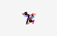 COc1cccc(-c2cnc([C@H](CCCCCC(C)=O)NS(=O)(=O)c3cccc([N+](=O)[O-])c3)[nH]2)c1.O=C(O)C(F)(F)F